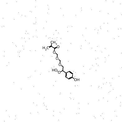 C=C(C)C(=O)OCOCOCC(OO)c1ccc(O)cc1